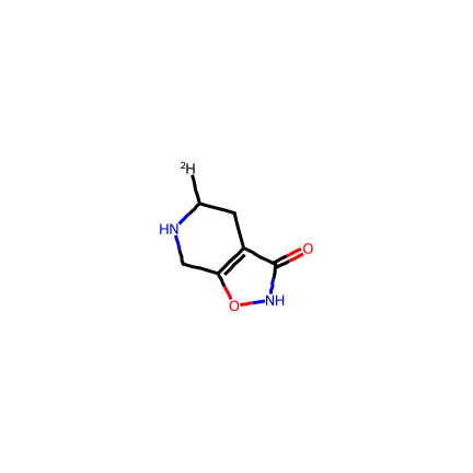 [2H]C1Cc2c(o[nH]c2=O)CN1